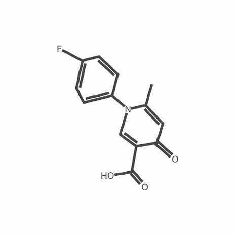 Cc1cc(=O)c(C(=O)O)cn1-c1ccc(F)cc1